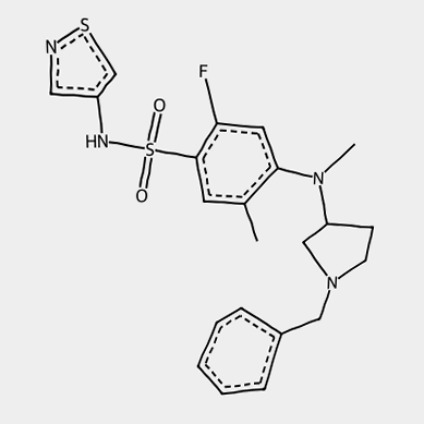 Cc1cc(S(=O)(=O)Nc2cnsc2)c(F)cc1N(C)C1CCN(Cc2ccccc2)C1